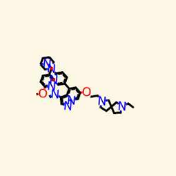 C=Nc1cnn2cc(OCCN3CCC4(CCN(CC)C4)C3)cc(-c3ccc(N4CC5CC(C4)N5Cc4ccc(OC)nc4)nc3)c12